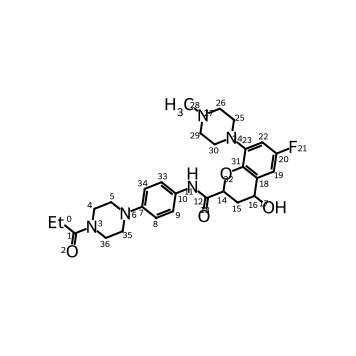 CCC(=O)N1CCN(c2ccc(NC(=O)C3CC(O)c4cc(F)cc(N5CCN(C)CC5)c4O3)cc2)CC1